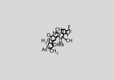 C#C[C@@H](Nc1nc(C)nc2c(=O)n(C)c([C@@]3(OC)CCN(C(C)=O)[C@H](C)C3)cc12)c1cccc(C(F)F)c1F